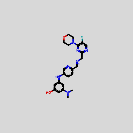 CN(C)c1cc(O)cc(Nc2ccc(/C=N/Cc3ncc(F)c(N4CCOCC4)n3)nc2)c1